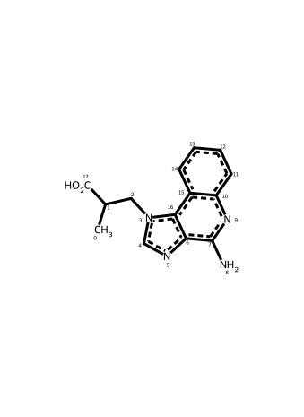 CC(Cn1cnc2c(N)nc3ccccc3c21)C(=O)O